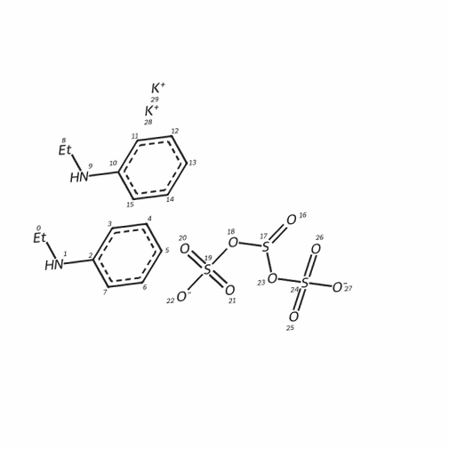 CCNc1ccccc1.CCNc1ccccc1.O=S(OS(=O)(=O)[O-])OS(=O)(=O)[O-].[K+].[K+]